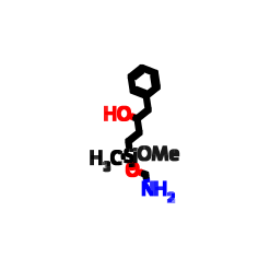 CO[Si](C)(CCC(O)Cc1ccccc1)OCN